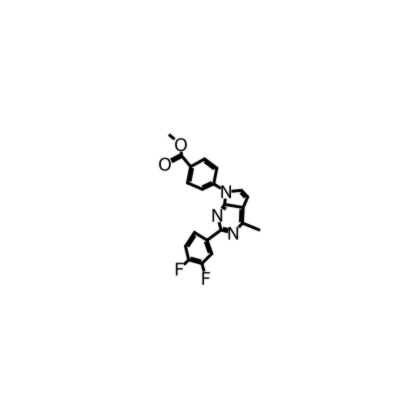 COC(=O)c1ccc(-n2ccc3c(C)nc(-c4ccc(F)c(F)c4)nc32)cc1